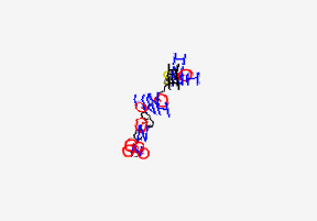 O=C(CCCC[C@@H]1SC[C@@H]2NC(=O)N[C@@H]21)NCCNC(=O)c1ccc2c(Oc3ccc(C(=O)ON4C(=O)CCC4=O)cn3)cccc2c1